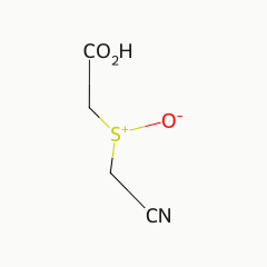 N#CC[S+]([O-])CC(=O)O